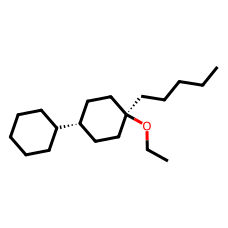 CCCCC[C@]1(OCC)CC[C@H](C2CCCCC2)CC1